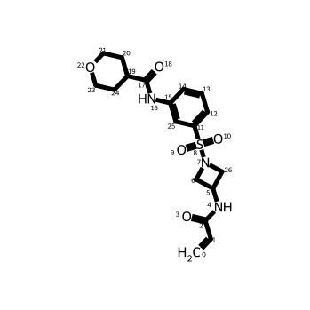 C=CC(=O)NC1CN(S(=O)(=O)c2cccc(NC(=O)C3CCOCC3)c2)C1